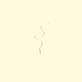 CC[CH2][Sn]([Cl])[CH2]CC